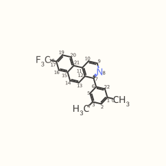 Cc1cc(C)cc(-c2nccc3c2ccc2cc(C(F)(F)F)ccc23)c1